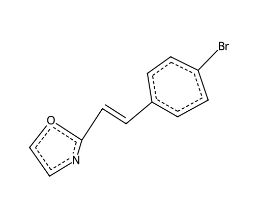 Brc1ccc(C=Cc2ncco2)cc1